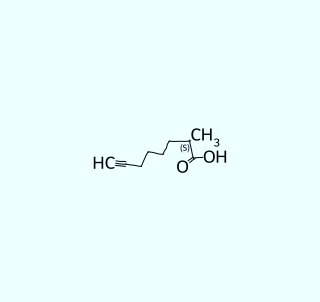 C#CCCCC[C@H](C)C(=O)O